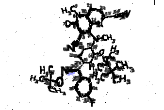 CN(c1c(C#N)c(=O)n(C)c2ccc(C#N)nc12)[C@@H]1CC[C@@H](/C(=N/OC(C)(C)C)c2ccc(F)cc2)C[C@@H]1O[Si](C)(C)C(C)(C)C